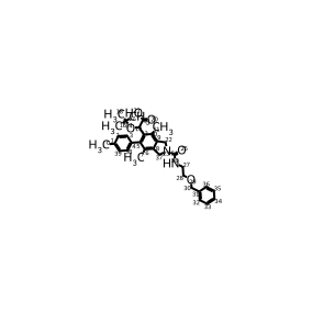 Cc1ccc(-c2c(C)c3c(c(C)c2C(OC(C)(C)C)C(=O)O)CN(C(=O)NCCOCc2ccccc2)C3)cc1